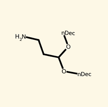 CCCCCCCCCCOC(CCN)OCCCCCCCCCC